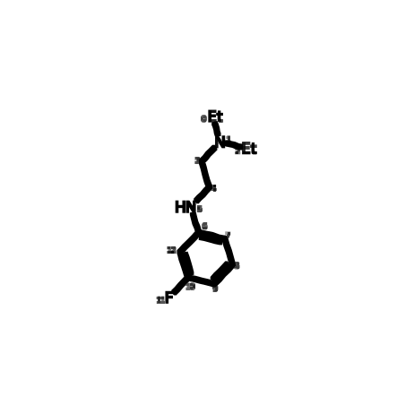 CCN(CC)CCNc1cccc(F)c1